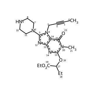 CC#CCn1c(N2CCNCC2)nc2nc(OC(CC)C(=O)OCC)n(C)c(=O)c21